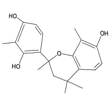 Cc1c(O)ccc(C2(C)CC(C)(C)c3ccc(O)c(C)c3O2)c1O